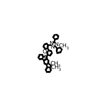 CC1CC=CC=C1c1nc(-c2ccccc2)nc(-c2cccc3oc4c(-n5c6ccccc6c6cc7c(cc65)C(C)(C)c5ccccc5-7)cccc4c23)n1